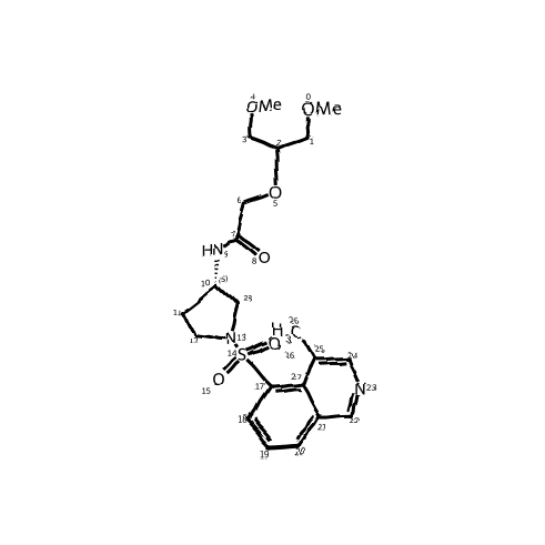 COCC(COC)OCC(=O)N[C@H]1CCN(S(=O)(=O)c2cccc3cncc(C)c23)C1